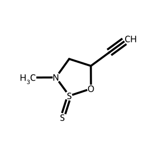 C#CC1CN(C)S(=S)O1